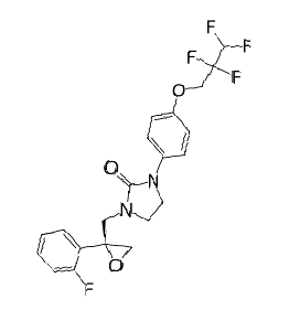 O=C1N(C[C@@]2(c3ccccc3F)CO2)CCN1c1ccc(OCC(F)(F)C(F)F)cc1